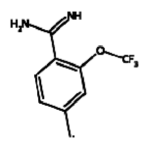 [CH2]c1ccc(C(=N)N)c(OC(F)(F)F)c1